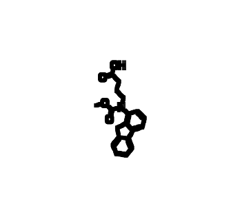 COC(=O)N(CCCC(=O)O)c1cccc2c1Cc1ccccc1-2